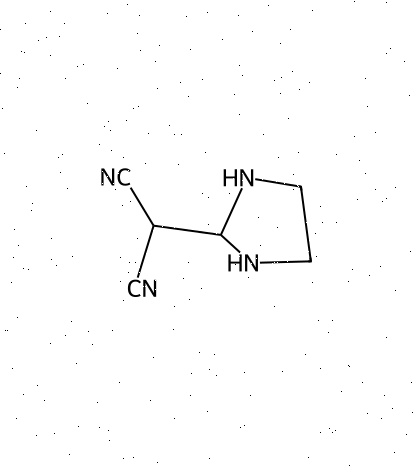 N#CC(C#N)C1NCCN1